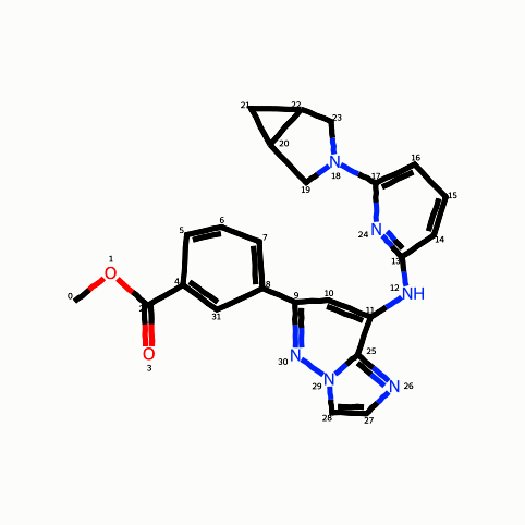 COC(=O)c1cccc(-c2cc(Nc3cccc(N4CC5CC5C4)n3)c3nccn3n2)c1